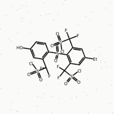 CCc1cc(C(F)(F)S(=O)(=O)Cl)c(S(=O)(=O)c2ccc(O)cc2C(F)(F)S(=O)(=O)Cl)c(C(F)(F)S(=O)(=O)Cl)c1